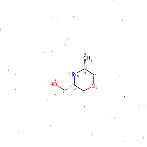 C[C@@H]1COC[C@H](CO)N1